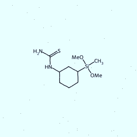 CO[Si](C)(OC)C1CCCC(NC(N)=S)C1